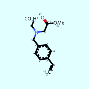 C=Cc1ccc(CN(CC(=O)O)CC(=O)OC)cc1